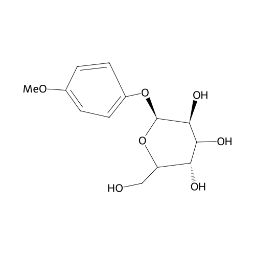 COc1ccc(O[C@@H]2OC(CO)[C@@H](O)C(O)[C@@H]2O)cc1